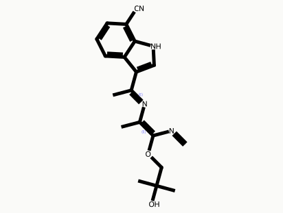 C=N/C(OCC(C)(C)O)=C(C)\N=C(/C)c1c[nH]c2c(C#N)cccc12